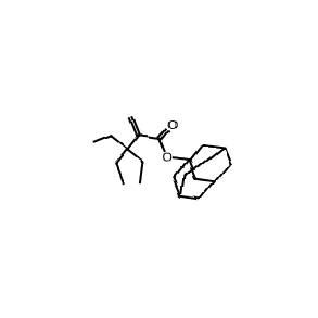 C=C(C(=O)OC12CC3CC(CC(C3)C1)C2)C(CC)(CC)CC